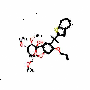 C=CCOc1cc(OCCCC)c(C2(O)O[C@H](COCCCC)C[C@H](OCCCC)[C@H]2OCCCC)cc1C(C)(C)c1cc2ccccc2s1